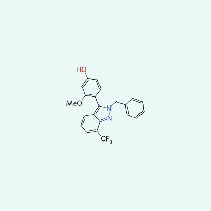 COc1cc(O)ccc1-c1c2cccc(C(F)(F)F)c2nn1Cc1ccccc1